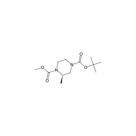 COC(=O)N1CCN(C(=O)OC(C)(C)C)C[C@H]1C